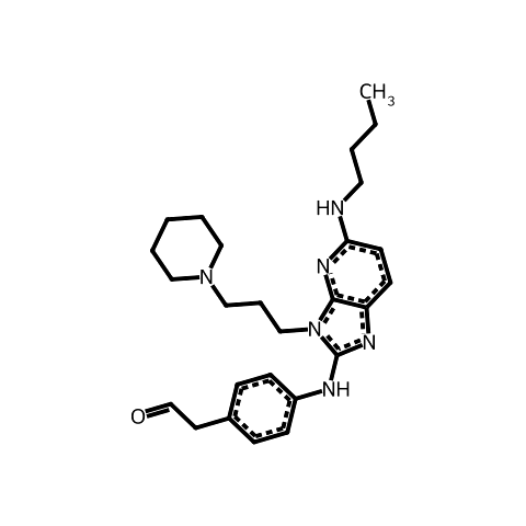 CCCCNc1ccc2nc(Nc3ccc(CC=O)cc3)n(CCCN3CCCCC3)c2n1